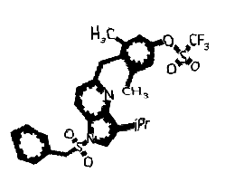 Cc1cc(OS(=O)(=O)C(F)(F)F)cc(C)c1Cc1ccc2c(n1)c(C(C)C)cn2S(=O)(=O)Cc1ccccc1